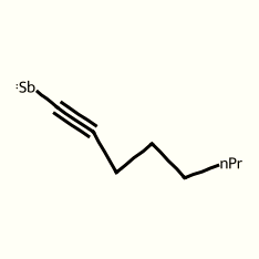 CCCCCCC#[C][Sb]